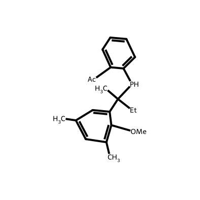 CCC(C)(Pc1ccccc1C(C)=O)c1cc(C)cc(C)c1OC